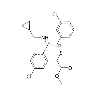 COC(=O)CS[C@@H](c1cccc(Cl)c1)[C@@H](NCC1CC1)c1ccc(Cl)cc1